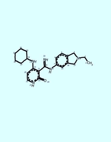 CCN1Cc2ccc(NC(=N)c3c(NC4CCCCC4)cc[nH]c3=O)cc2C1